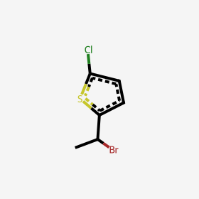 CC(Br)c1ccc(Cl)s1